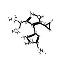 Cc1cc(-c2c(C(C)C)noc2C2CC2)n[nH]1